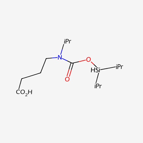 CC(C)N(CCCC(=O)O)C(=O)O[SiH](C(C)C)C(C)C